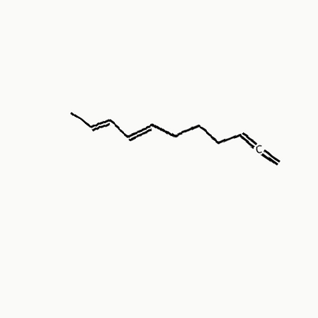 C=C=CCCCC=CC=CC